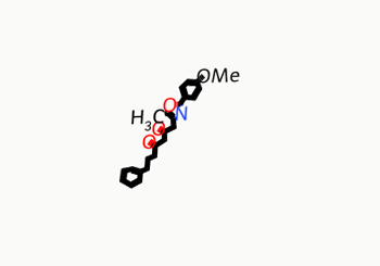 COc1ccc(-c2nc(CC(=O)CC(=O)CCCc3ccccc3)c(C)o2)cc1